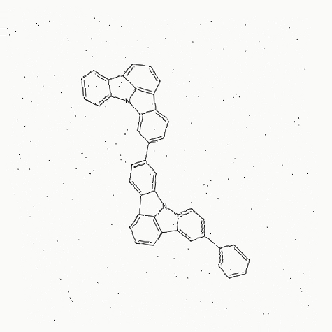 c1ccc(-c2ccc3c(c2)c2cccc4c5ccc(-c6ccc7c8cccc9c%10ccccc%10n(c7c6)c98)cc5n3c24)cc1